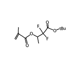 C=C(C)C(=O)OC(C)C(F)(F)C(=O)OC(C)(C)C